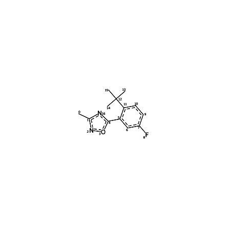 Cc1noc(-c2cc(F)ccc2C(C)(C)C)n1